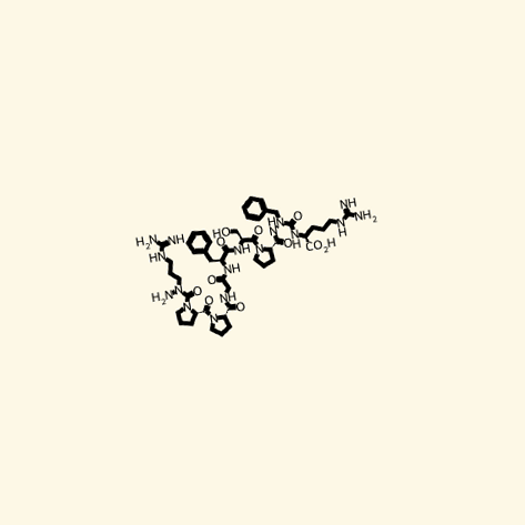 N=C(N)NCCC[C@H](NC(=O)N(Cc1ccccc1)NC(=O)[C@@H]1CCCN1C(=O)[C@H](CO)NC(=O)[C@H](Cc1ccccc1)NC(=O)CNC(=O)[C@@H]1CCCN1C(=O)[C@@H]1CCCN1C(=O)N(N)CCCNC(=N)N)C(=O)O